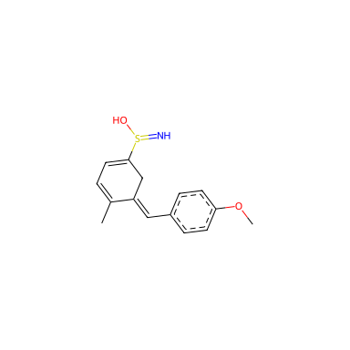 COc1ccc(C=C2CC(S(=N)O)=CC=C2C)cc1